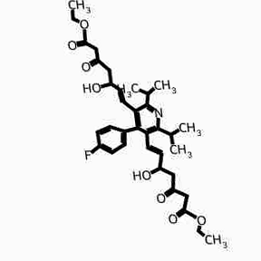 CCOC(=O)CC(=O)CC(O)C=Cc1c(C(C)C)nc(C(C)C)c(/C=C/C(O)CC(=O)CC(=O)OCC)c1-c1ccc(F)cc1